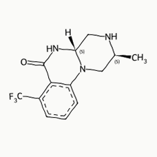 C[C@H]1CN2c3cccc(C(F)(F)F)c3C(=O)N[C@@H]2CN1